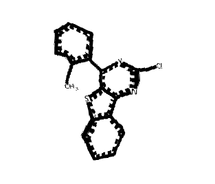 Cc1ccccc1-c1nc(Cl)nc2c1sc1ccccc12